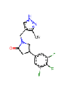 N#Cc1n[nH]cc1CN1CC(c2cc(F)c(F)c(F)c2)CC1=O